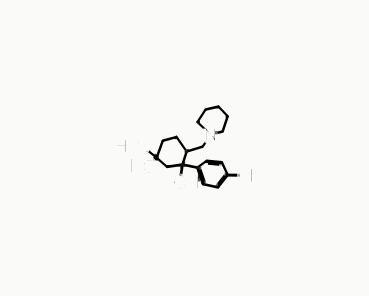 CC1(C)CCC(CN2CCCCC2)C(O)(c2ccc(Cl)cc2)C1